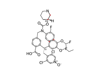 CCCOc1cc([C@H](Cc2c(Cl)c[n+]([O-])cc2Cl)c2cc(CN(C(=O)O[C@H]3CN4CCC3CC4)c3ccccc3F)ccc2C(=O)O)ccc1OC(F)F